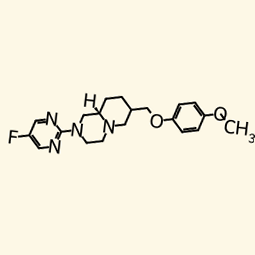 COc1ccc(OCC2CC[C@H]3CN(c4ncc(F)cn4)CCN3C2)cc1